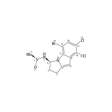 CC(C)(C)[S@+]([O-])N[C@@H]1CCc2cc3c(Cl)c(Cl)cc(Br)c3n21